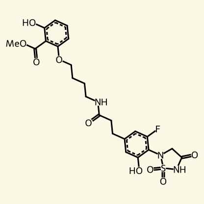 COC(=O)c1c(O)cccc1OCCCCNC(=O)CCc1cc(O)c(N2CC(=O)NS2(=O)=O)c(F)c1